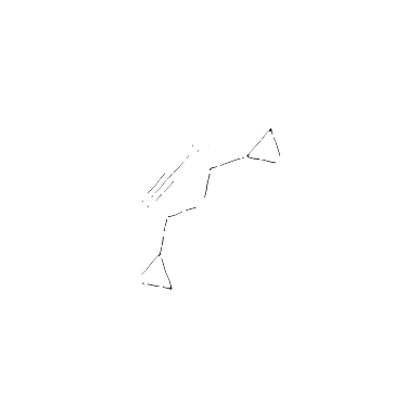 C(OCC1CO1)C1CO1.N#CN